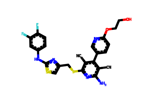 N#Cc1c(N)nc(SCc2csc(Nc3ccc(F)c(F)c3)n2)c(C#N)c1-c1ccc(OCCO)nc1